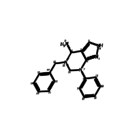 NC1c2c[nH]nc2N(c2ccccc2)CN1Cc1ccccc1